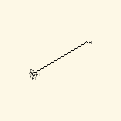 CCO[Si](CCCCCCCCCCCCCCCCCCCCCCCCCCCCCCCS)(OCC)OCC